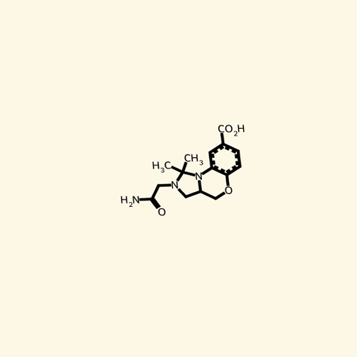 CC1(C)N(CC(N)=O)CC2COc3ccc(C(=O)O)cc3N21